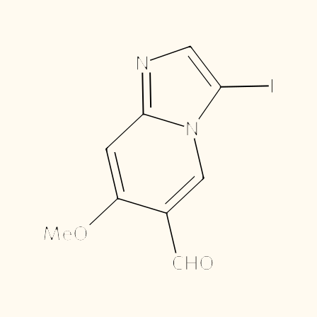 COc1cc2ncc(I)n2cc1C=O